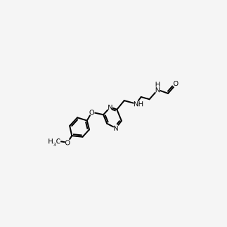 COc1ccc(Oc2cncc(CNCCNC=O)n2)cc1